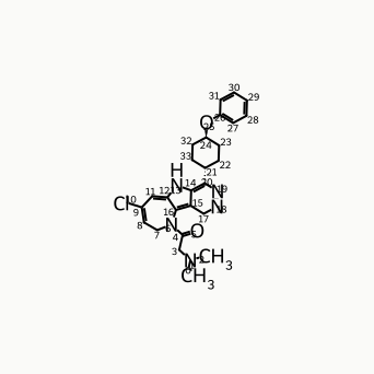 CN(C)CC(=O)N1CC=C(Cl)C=c2[nH]c3c(c21)CN=NC=3[C@H]1CC[C@H](Oc2ccccc2)CC1